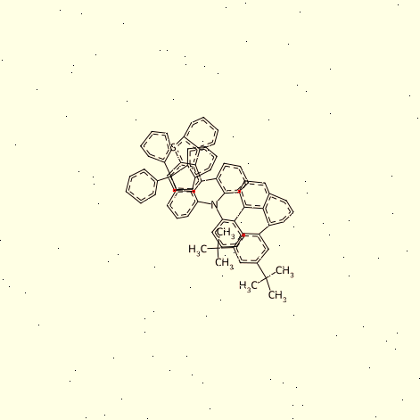 CC(C)(C)c1cc(-c2cccc3cccc(-c4ccccc4N(c4ccccc4-c4cccc5sc6ccccc6c45)c4cccc5c4-c4ccccc4C5(c4ccccc4)c4ccccc4)c23)cc(C(C)(C)C)c1